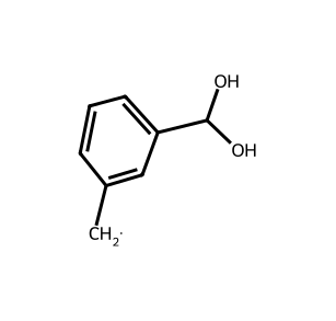 [CH2]c1cccc(C(O)O)c1